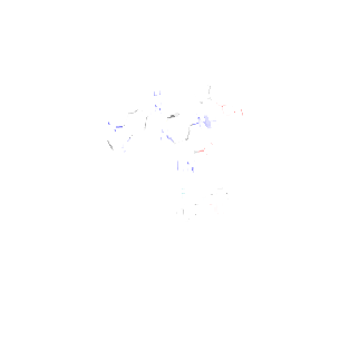 CC(C)(O)[C@H](F)CNC(=O)c1cnc(Nc2ccc3nccnc3c2)cc1N[C@@H]1CCC[C@H]1O